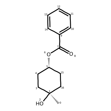 C[C@]1(O)CC[C@H](OC(=O)c2ccccc2)CC1